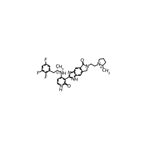 C[C@@H]1CCCN1CCN1Cc2cc3[nH]c(-c4c(N[C@@H](C)Cc5cc(F)cc(F)c5F)cc[nH]c4=O)nc3cc2C1=O